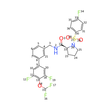 O=C(NCc1cccc(-c2cc(F)c(OC(F)F)c(F)c2)c1)[C@@H]1CCCN1S(=O)(=O)c1ccc(F)cc1